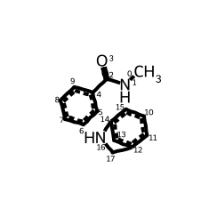 CNC(=O)c1ccccc1.c1cc2cc(c1)NC2